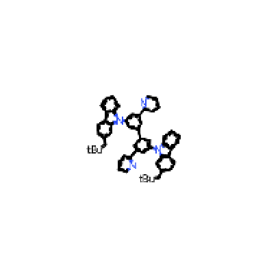 CC(C)(C)Cc1ccc2c3ccccc3n(-c3cc(-c4cc(-c5ccccn5)cc(-n5c6ccccc6c6ccc(CC(C)(C)C)cc65)c4)cc(-c4ccccn4)c3)c2c1